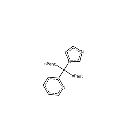 CCCCCC(CCCCC)(c1ccccn1)n1ccnc1